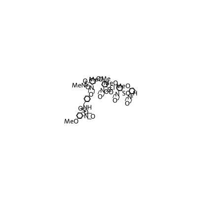 CNS(=O)(=O)c1ccc(OC)cc1N1CCOCC1.COc1ccc(S(=O)(=O)Cl)c(N2CCOCC2)c1.COc1ccc(S(=O)(=O)NCc2ccccc2)c(N2CCOCC2)c1.COc1ccc(S(=O)(=O)O)c(N2CCOCC2)c1.COc1cccc(N2CCOCC2)c1